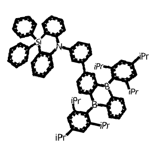 CC(C)c1cc(C(C)C)c(B2c3ccccc3B(c3c(C(C)C)cc(C(C)C)cc3C(C)C)c3cc(-c4cccc(N5c6ccccc6[Si](c6ccccc6)(c6ccccc6)c6ccccc65)c4)ccc32)c(C(C)C)c1